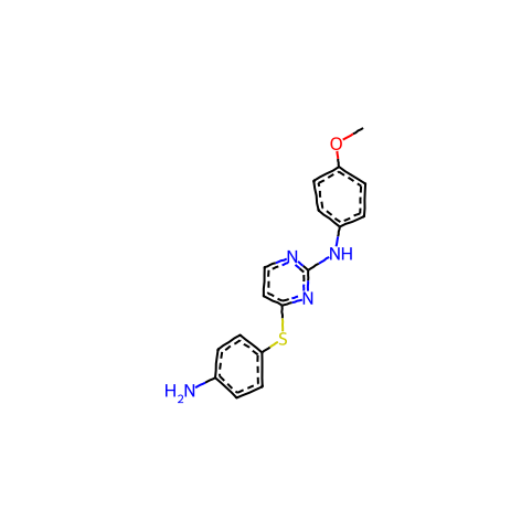 COc1ccc(Nc2nccc(Sc3ccc(N)cc3)n2)cc1